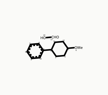 COC1CCC(c2ccccc2)CC1.O=CO